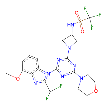 COc1cccc2c1nc(C(F)F)n2-c1nc(N2CCOCC2)nc(N2CC(NS(=O)(=O)C(F)(F)F)C2)n1